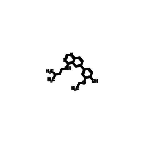 CCOc1cc(-c2ccc3ncnc(NCCC(C)C)c3c2)ccc1O